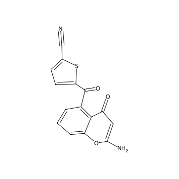 N#Cc1ccc(C(=O)c2cccc3oc(N)cc(=O)c23)s1